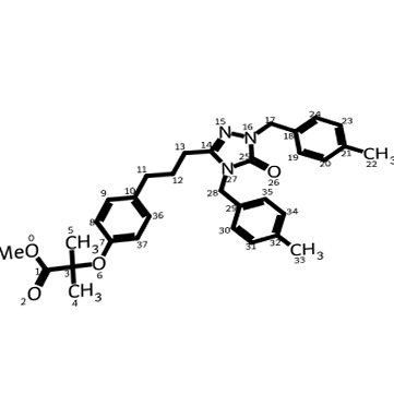 COC(=O)C(C)(C)Oc1ccc(CCCc2nn(Cc3ccc(C)cc3)c(=O)n2Cc2ccc(C)cc2)cc1